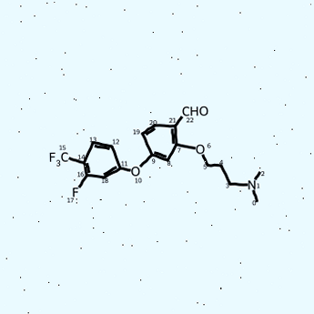 CN(C)CCCOc1cc(Oc2ccc(C(F)(F)F)c(F)c2)ccc1C=O